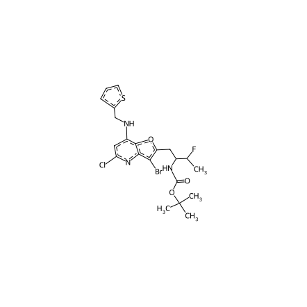 CC(F)C(Cc1oc2c(NCc3cccs3)cc(Cl)nc2c1Br)NC(=O)OC(C)(C)C